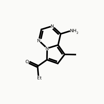 CCC(=O)c1cc(C)c2c(N)ncnn12